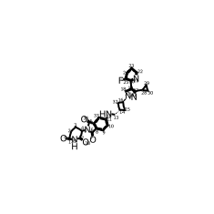 O=C1CCC(N2C(=O)c3ccc(NC[C@H]4C[C@H](n5cc(-c6ncccc6F)c(C6CC6)n5)C4)cc3C2=O)C(=O)N1